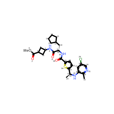 COC(=O)C1CC(NC(=O)[C@H](CC2CCCC2)NC(=O)c2ccc([C@H](C)Nc3cc(Cl)cnc3C)s2)C1